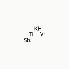 [KH].[Sb].[Ti].[V]